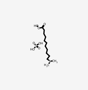 CN(C)CCCCCCCCCCC(=O)OO.O=S(=O)(O)O